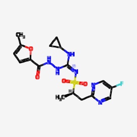 Cc1ccc(C(=O)NN/C(=N\S(=O)(=O)[C@H](C)Cc2ncc(F)cn2)NC2CC2)o1